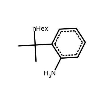 CCCCCCC(C)(C)c1ccccc1N